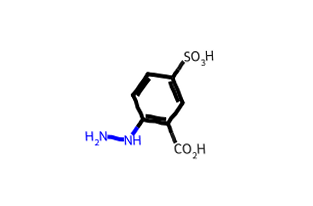 NNc1ccc(S(=O)(=O)O)cc1C(=O)O